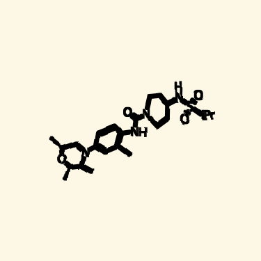 Cc1cc(N2C[C@H](C)O[C@H](C)C2C)ccc1NC(=O)N1CCC(NS(=O)(=O)C(C)C)CC1